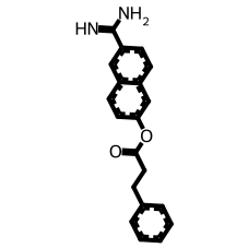 N=C(N)c1ccc2cc(OC(=O)CCc3ccccc3)ccc2c1